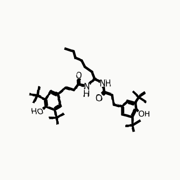 CCCCCCC(NC(=O)CCc1cc(C(C)(C)C)c(O)c(C(C)(C)C)c1)NC(=O)CCc1cc(C(C)(C)C)c(O)c(C(C)(C)C)c1